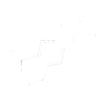 O=C1C=CC(=O)c2ccccc21.O=S(=O)(Cl)Cl